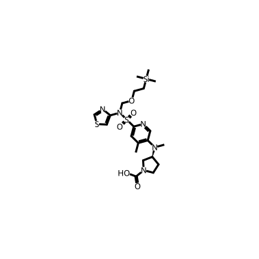 Cc1cc(S(=O)(=O)N(COCC[Si](C)(C)C)c2cscn2)ncc1N(C)[C@H]1CCN(C(=O)O)C1